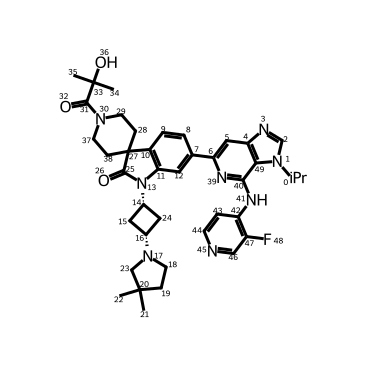 CC(C)n1cnc2cc(-c3ccc4c(c3)N([C@H]3C[C@@H](N5CCC(C)(C)C5)C3)C(=O)C43CCN(C(=O)C(C)(C)O)CC3)nc(Nc3ccncc3F)c21